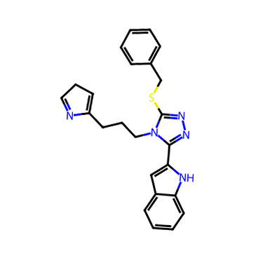 C1=NC(CCCn2c(SCc3ccccc3)nnc2-c2cc3ccccc3[nH]2)=CC1